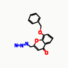 [N-]=[N+]=NCc1cc(=O)c2cccc(OCc3ccccc3)c2o1